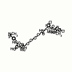 CO[C@@H](C)c1c(NC(=O)Nc2cc(Cl)cnc2OCCNC(=O)CCOCCOCCOCCOCCC(=O)N[C@H](C(=O)N2C[C@H](O)C[C@H]2C(=O)NCc2ccc(-c3scnc3C)cc2)C(C)(C)C)cnc2cc(Cl)nn12